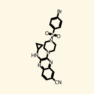 N#Cc1ccc2nc(NC3CC3)c(N3CCN(S(=O)(=O)c4ccc(Br)cc4)CC3)nc2c1